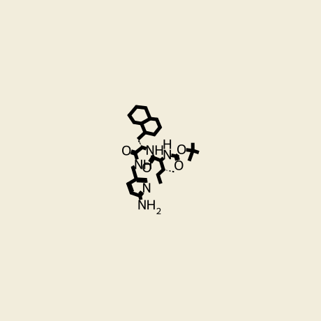 CC[C@@H](C)C(NC(=O)OC(C)(C)C)C(=O)N[C@@H](CC1CCCC2CCCCC21)C(=O)NCc1ccc(N)nc1